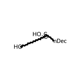 CCCCCCCCCCCCCCCCC(OCCCCCCCCCCCCCCCCCCO)C(=O)O